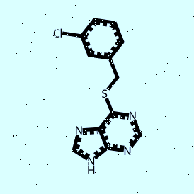 Clc1cccc(CSc2ncnc3[nH]cnc23)c1